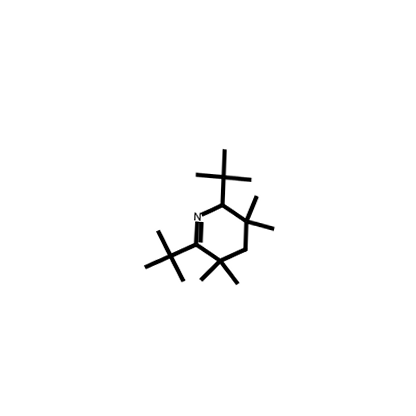 CC(C)(C)C1=NC(C(C)(C)C)C(C)(C)CC1(C)C